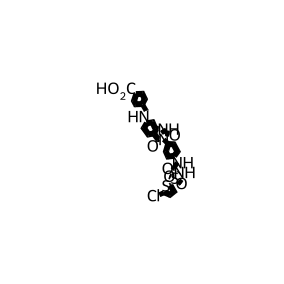 O=C(Nc1ccc(-n2c(=O)[nH]c3cc(NCc4ccc(C(=O)O)cc4)ccc3c2=O)cc1)NS(=O)(=O)c1ccc(Cl)s1